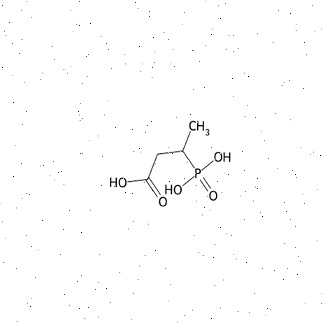 CC(CC(=O)O)P(=O)(O)O